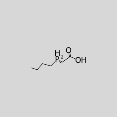 CCCC/[PH2]=C/C(=O)O